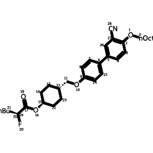 CCCCCCCCOc1ccc(-c2ccc(OC[C@H]3CC[C@H](OC(=O)[C@@H](F)CCCC)CC3)cc2)cc1C#N